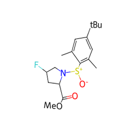 COC(=O)C1CC(F)CN1[S+]([O-])c1c(C)cc(C(C)(C)C)cc1C